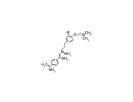 C=C(N)c1ccc(/C(N)=C/N(N)CCCc2ccc(OCCN(C)C)c(Br)c2)cc1